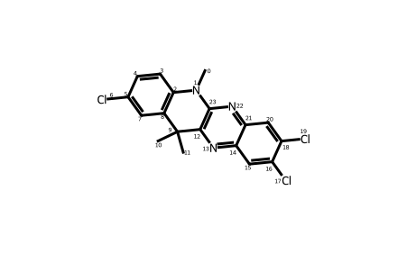 CN1c2ccc(Cl)cc2C(C)(C)c2nc3cc(Cl)c(Cl)cc3nc21